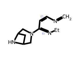 C=N/C=C\C(=N/CC)N1CC2CC(C1)N2